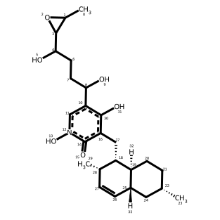 CC1OC1C(O)CCC(O)c1cn(O)c(=O)c(C[C@@H]2[C@H]3CC[C@H](C)C[C@@H]3C=C[C@@H]2C)c1O